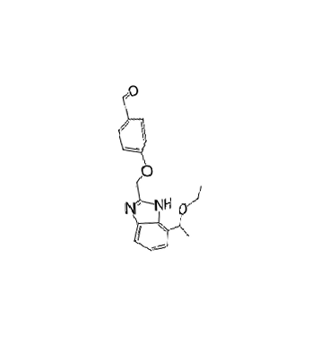 CCOC(C)c1cccc2nc(COc3ccc(C=O)cc3)[nH]c12